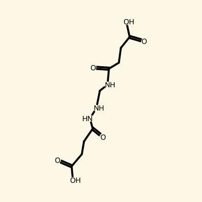 O=C(O)CCC(=O)NCNNC(=O)CCC(=O)O